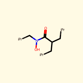 CC(C)CC(CC(C)C)C(=O)N(O)CC(C)C